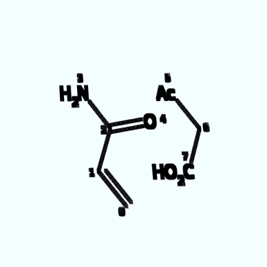 C=CC(N)=O.CC(=O)CC(=O)O